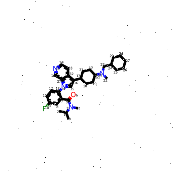 CC(C)N(C)C(=O)c1cc(F)ccc1-n1cc(C2CCC(N(C)CC3CCCCC3)CC2)c2ccncc21